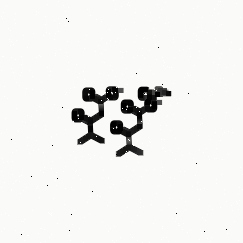 CC(C)C(=O)CC(=O)[O-].CC(C)C(=O)CC(=O)[O-].[Cu+2]